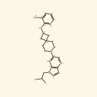 FC(F)Cn1ncc2ncc(N3CCC4(CC3)CC(Oc3ncccc3C(F)(F)F)C4)nc21